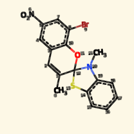 CC1=Cc2cc([N+](=O)[O-])cc(Br)c2OC12Sc1ccccc1N2C